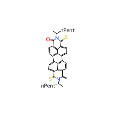 C=c1c2ccc3c4ccc5c6c(ccc(c7ccc(c(=S)n1[C@H](C)CCCCC)c2c37)c64)C(=O)N([C@@H](C)CCCCC)C5=S